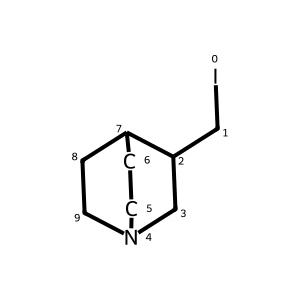 ICC1CN2CCC1CC2